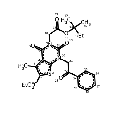 CCOC(=O)c1sc2c(c1C)c(=O)n(CC(=O)OC(C)(C)CC)c(=O)n2CC(=O)c1ccccc1